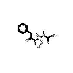 CCCC(=S)N(C)P(=S)(SCC)N(C)C(=O)Cc1ccccc1